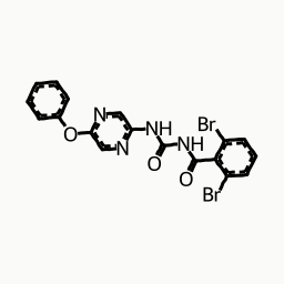 O=C(NC(=O)c1c(Br)cccc1Br)Nc1cnc(Oc2ccccc2)cn1